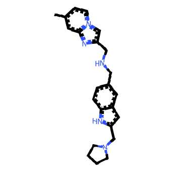 Cc1ccn2cc(CNCc3ccc4[nH]c(CN5CCCC5)cc4c3)nc2c1